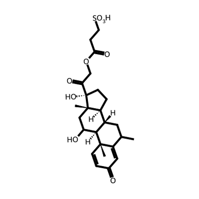 CC1C[C@@H]2[C@H](C(O)C[C@@]3(C)[C@H]2CC[C@]3(O)C(=O)COC(=O)CCS(=O)(=O)O)[C@@]2(C)C=CC(=O)C=C12